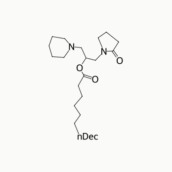 CCCCCCCCCCCCCCCC(=O)OC(CN1CCCCC1)CN1CCCC1=O